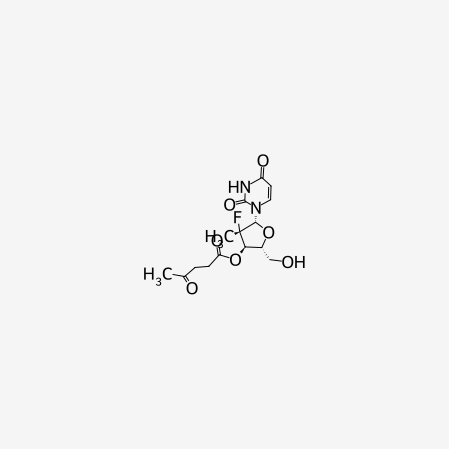 CC(=O)CCC(=O)O[C@@H]1[C@@H](CO)O[C@@H](n2ccc(=O)[nH]c2=O)[C@@]1(C)F